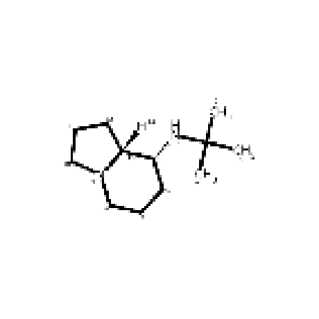 CC(C)(C)N[C@@H]1CCCN2CCC[C@H]12